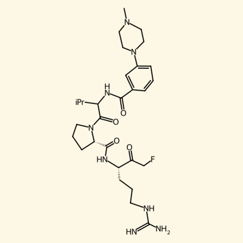 CC(C)C(NC(=O)c1cccc(N2CCN(C)CC2)c1)C(=O)N1CCC[C@H]1C(=O)N[C@@H](CCCNC(=N)N)C(=O)CF